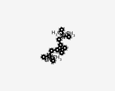 Cc1ccccc1-c1nc(-c2cccc(-c3ccc4c(c3)-c3cc(-c5cccc(-c6nc(-c7ccccc7C)nc(-c7ccccc7C)n6)c5)ccc3C43c4ccccc4-c4ccccc43)c2)nc(-c2ccccc2C)n1